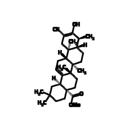 [C-]#[N+]C1=C(O)[C@@H](C)[C@@H]2CC[C@]3(C)[C@H](CC=C4[C@@H]5CC(C)(C)CC[C@]5(C(=O)OC)CC[C@]43C)[C@@]2(C)C1